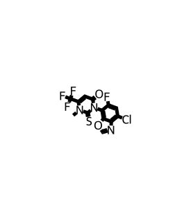 Cn1c(C(F)(F)F)cc(=O)n(-c2c(F)cc(Cl)c3ncoc23)c1=S